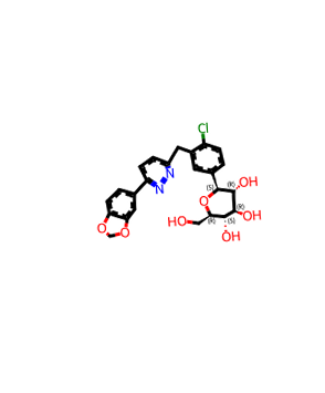 OC[C@H]1O[C@@H](c2ccc(Cl)c(Cc3ccc(-c4ccc5c(c4)OCO5)nn3)c2)[C@H](O)[C@@H](O)[C@@H]1O